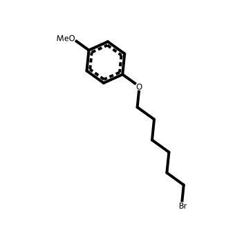 COc1ccc(OCCCCCCBr)cc1